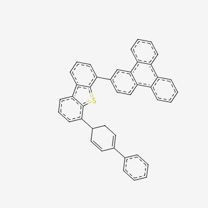 C1=CC(c2cccc3c2sc2c(-c4ccc5c6ccccc6c6ccccc6c5c4)cccc23)CC=C1c1ccccc1